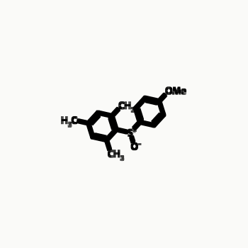 COc1ccc([S+]([O-])c2c(C)cc(C)cc2C)cc1